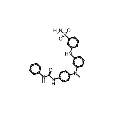 CN(c1ccc(NC(=O)Nc2ccccc2)cc1)c1cccc(Nc2cccc(S(N)(=O)=O)c2)c1